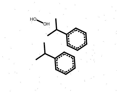 CC(C)c1ccccc1.CC(C)c1ccccc1.OO